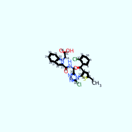 CCc1cc(C(=O)c2ccccc2Cl)c(-n2c(Cl)nnc2CNC(=O)c2cc3ccccc3n2CC(=O)O)s1